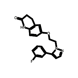 O=C1CCc2cc(OCCn3nccc3-c3cccc(F)c3)ccc2N1